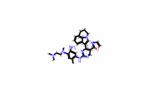 Cc1cc(N(C)CCN(C)C)c(N)cc1Nc1ncc(-c2ncco2)c(-c2cn3c4c(cccc24)CCC3)n1